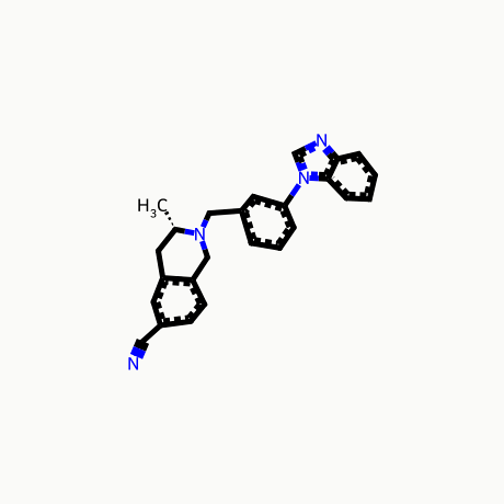 C[C@H]1Cc2cc(C#N)ccc2CN1Cc1cccc(-n2cnc3ccccc32)c1